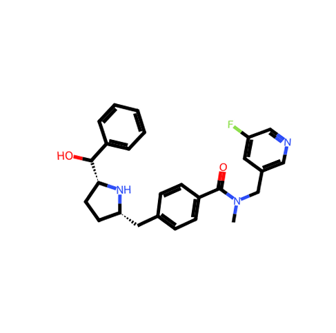 CN(Cc1cncc(F)c1)C(=O)c1ccc(C[C@@H]2CC[C@H](C(O)c3ccccc3)N2)cc1